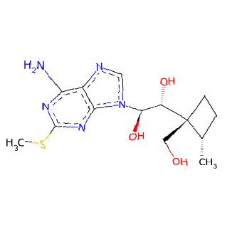 CSc1nc(N)c2ncn([C@H](O)[C@H](O)[C@]3(CO)CC[C@@H]3C)c2n1